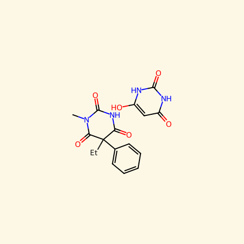 CCC1(c2ccccc2)C(=O)NC(=O)N(C)C1=O.O=c1cc(O)[nH]c(=O)[nH]1